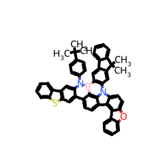 CC(C)(C)c1ccc(N2B3c4cc5c(cc4-n4c6ccc7oc8ccccc8c7c6c6ccc(c3c64)-c3cc4sc6ccccc6c4cc32)C(C)(C)c2ccccc2-5)cc1